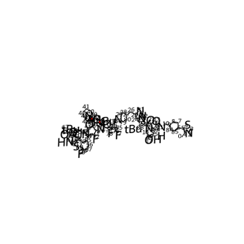 Cc1ncsc1-c1ccc(CNC(=O)[C@@H]2C[C@@H](O)CN2C(=O)[C@@H](n2cc(CC3CCN(C[C@@]4(COc5nc(N6CC7CCC(C6)N7C(=O)OC(C)(C)C)c6cc(Cl)c(-c7ccc(F)c8sc(NC(=O)OC(C)(C)C)c(C#N)c78)c(F)c6n5)CC4(F)F)CC3)nn2)C(C)(C)C)cc1